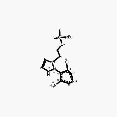 CC(C)(C)[Si](C)(C)OCCN1C=CNN1c1c(N)cncc1Cl